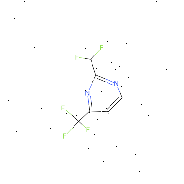 FC(F)c1nc[c]c(C(F)(F)F)n1